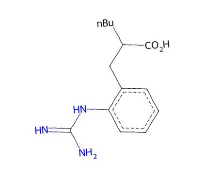 CCCCC(Cc1ccccc1NC(=N)N)C(=O)O